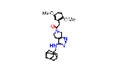 COc1ccc(OC)c(CC(=O)N2CCc3c(ncnc3NCC34CC5CC(CC(C5)C3)C4)C2)c1